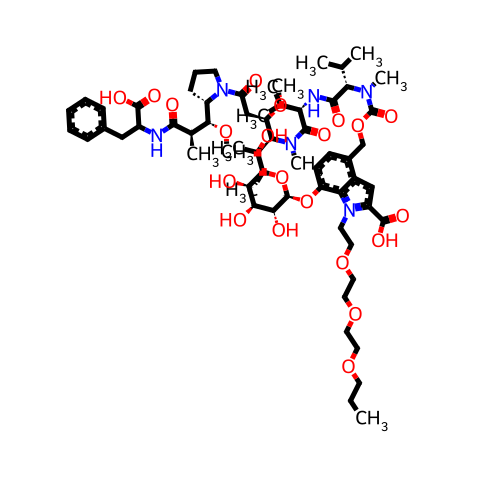 CCCOCCOCCOCCn1c(C(=O)O)cc2c(COC(=O)N(C)[C@H](C(=O)N[C@H](C(=O)N(C)[C@@H](C(C)CC)[C@@H](CC(=O)N3CCC[C@H]3[C@H](OC)[C@@H](C)C(=O)NC(Cc3ccccc3)C(=O)O)OC)C(C)C)C(C)C)ccc(O[C@@H]3O[C@H](CO)[C@H](O)[C@H](O)[C@H]3O)c21